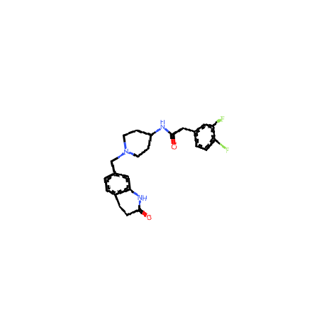 O=C1CCc2ccc(CN3CCC(NC(=O)Cc4ccc(F)c(F)c4)CC3)cc2N1